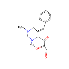 CN1CC(=Cc2ccccc2)C(C(=O)C(=O)C=O)N(C)C1